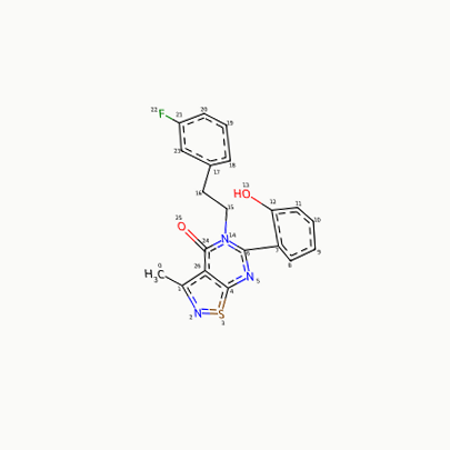 Cc1nsc2nc(-c3ccccc3O)n(CCc3cccc(F)c3)c(=O)c12